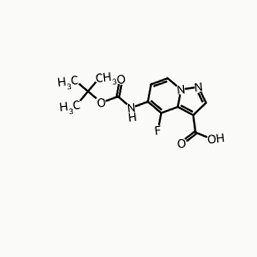 CC(C)(C)OC(=O)Nc1ccn2ncc(C(=O)O)c2c1F